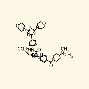 CN(C)C1CCN(C(=O)c2ccc(NC(=O)Nc3ccc(-c4nc(N5CCOCC5)nc(N5CCOCC5)n4)cc3)cc2)CC1.O=C(O)/C=C\C(=O)O